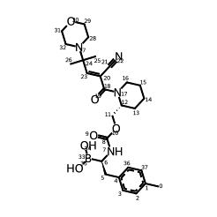 Cc1ccc(C[C@H](NC(=O)OC[C@H]2CCCCN2C(=O)/C(C#N)=C/C(C)(C)N2CCOCC2)B(O)O)cc1